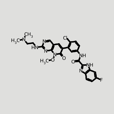 COn1c(=O)c(-c2cc(NC(=O)c3nc4ccc(F)cc4[nH]3)ccc2Cl)cc2cnc(NCCN(C)C)nc21